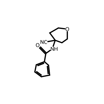 N#CC1(NC(=O)c2ccccc2)CCOCC1